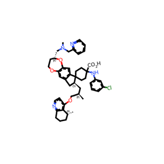 C[C@@H](COc1ccnc2c1[C@H](C)CCC2)C[C@H]1Cc2cc3c(cc2C12CCC(Nc1cccc(Cl)c1)(C(=O)O)CC2)O[C@@H](CN(C)Cc1ccccn1)CCO3